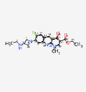 CCNC1CN(c2cc3nc4c(cc3cc2F)c(=O)c(C(=O)OCC)cn4C)C1